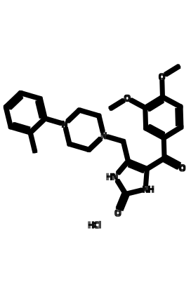 COc1ccc(C(=O)c2[nH]c(=O)[nH]c2CN2CCN(c3ccccc3C)CC2)cc1OC.Cl